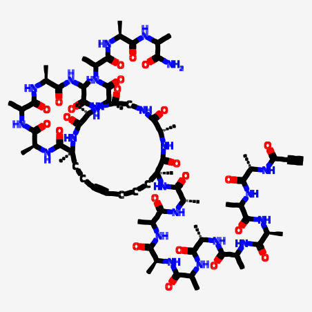 C#CC(=O)N[C@@H](C)C(=O)NC(C)C(=O)N[C@@H](C)C(=O)NC(C)C(=O)N[C@@H](C)C(=O)NC(C)C(=O)N[C@@H](C)C(=O)NC(C)C(=O)N[C@@H](C)C(=O)N[C@@]1(C)CCC/C=C\CC[C@@](C)(C(=O)N[C@@H](C)C(=O)NC(C)C(=O)N[C@@H](C)C(=O)NC(C)C(=O)N[C@@H](C)C(=O)NC(C)C(=O)N[C@@H](C)C(=O)NC(C)C(N)=O)NC(=O)[C@H](C)NC(=O)CNC(=O)[C@H](C)NC1=O